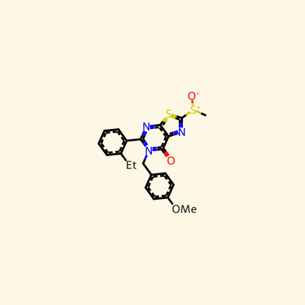 CCc1ccccc1-c1nc2sc([S+](C)[O-])nc2c(=O)n1Cc1ccc(OC)cc1